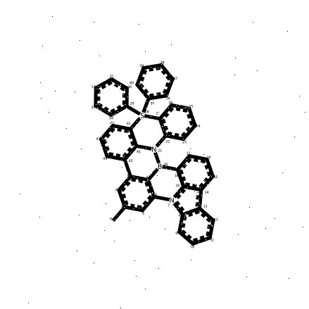 Cc1cc2c3c(c1)-n1c4ccccc4c4cccc(c41)B3N1c3ccccc3S(c3ccccc3)(c3ccccc3)c3cccc-2c31